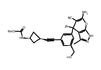 COC(=O)N[C@H]1C[C@@H](C#Cc2cc(CO)cc(C3(C(C)C)C(C#N)=C(N)Oc4[nH]nc(C)c43)c2)C1